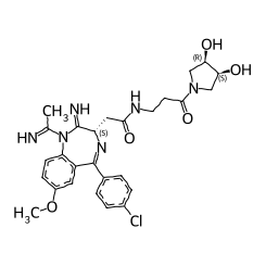 COc1ccc2c(c1)C(c1ccc(Cl)cc1)=N[C@@H](CC(=O)NCCC(=O)N1C[C@@H](O)[C@@H](O)C1)C(=N)N2C(C)=N